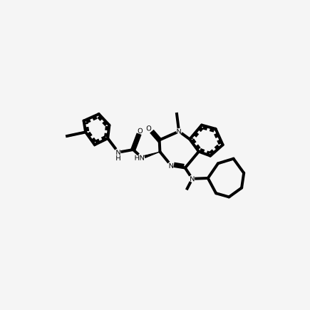 Cc1cccc(NC(=O)N[C@@H]2N=C(N(C)C3CCCCCC3)c3ccccc3N(C)C2=O)c1